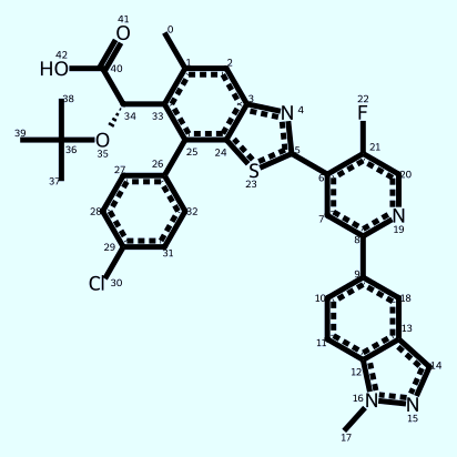 Cc1cc2nc(-c3cc(-c4ccc5c(cnn5C)c4)ncc3F)sc2c(-c2ccc(Cl)cc2)c1[C@H](OC(C)(C)C)C(=O)O